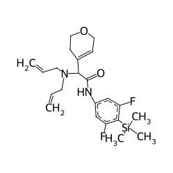 C=CCN(CC=C)C(C(=O)Nc1cc(F)c([Si](C)(C)C)c(F)c1)C1=CCOCC1